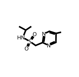 Cc1cnc(CS(=O)(=O)NC(C)C)nc1